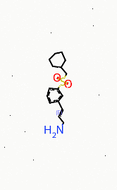 NC/C=C/c1cccc(S(=O)(=O)CC2CCCCC2)c1